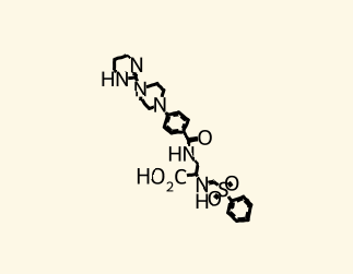 O=C(NCC(NCS(=O)(=O)c1ccccc1)C(=O)O)c1ccc(N2CCN(C3=NCCCN3)CC2)cc1